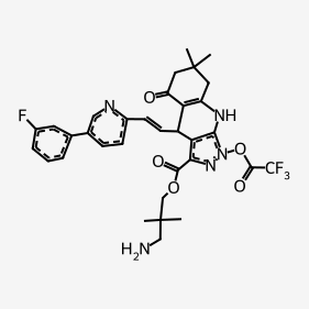 CC(C)(CN)COC(=O)c1nn(OC(=O)C(F)(F)F)c2c1C(C=Cc1ccc(-c3cccc(F)c3)cn1)C1=C(CC(C)(C)CC1=O)N2